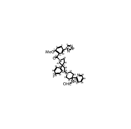 COc1ccc(-n2cnnn2)cc1C(=O)N1CCC(CCN2CCC(NC=O)(c3ccccn3)CC2)(c2ccc(F)cc2)C1